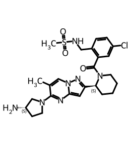 Cc1cn2nc([C@@H]3CCCCN3C(=O)c3cc(Cl)ccc3CNS(C)(=O)=O)cc2nc1N1CC[C@H](N)C1